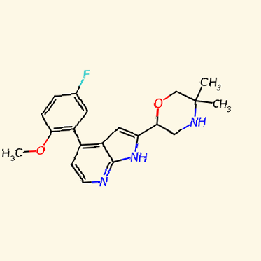 COc1ccc(F)cc1-c1ccnc2[nH]c(C3CNC(C)(C)CO3)cc12